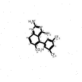 Nc1nc(N)c2c(-c3cc(C(F)(F)F)cc(C(F)(F)F)c3)c(C(=O)O)ccc2n1